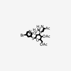 CC(=O)OCC1OC(Sc2cncc(Br)c2)C(OC(C)=O)C(N(N)/C=C(\N)C(C)=O)C1OC(C)=O